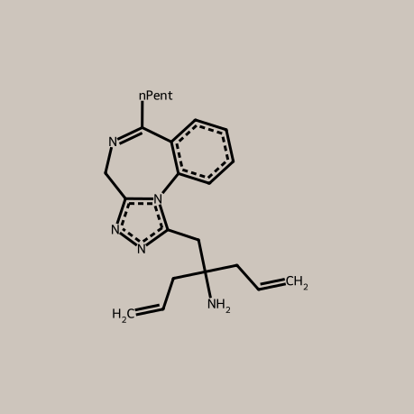 C=CCC(N)(CC=C)Cc1nnc2n1-c1ccccc1C(CCCCC)=NC2